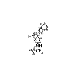 FC(F)(F)C1(CNc2ncc3c(-c4cc5cnccc5s4)c[nH]c3n2)CC1